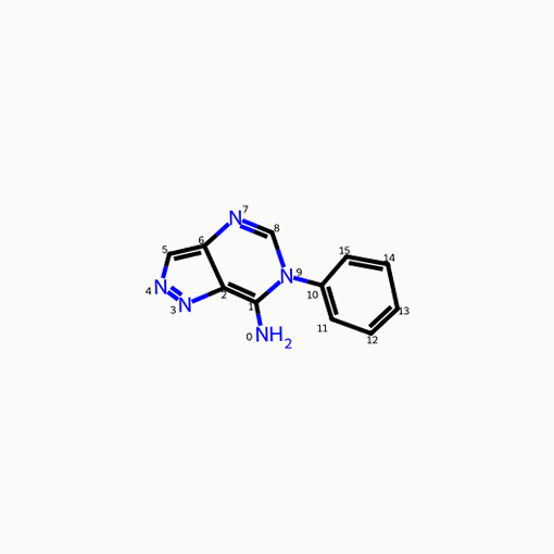 Nc1c2nncc-2ncn1-c1ccccc1